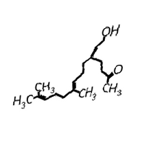 CC(=O)CC/C(=C\CO)CC/C=C(\C)CCC=C(C)C